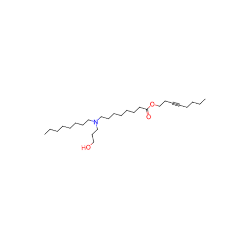 CCCCC#CCCOC(=O)CCCCCCCN(CCCO)CCCCCCCC